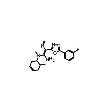 C=N/C(=C(/N)N(C)[C@@H]1CC=CCC1C)c1nnc(-c2cccc(F)c2)o1